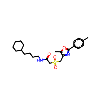 Cc1ccc(-c2nc(CS(=O)(=O)CC(=O)NCCCCC3CCCCC3)c(C)o2)cc1